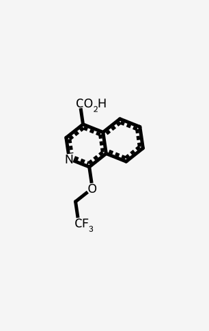 O=C(O)c1cnc(OCC(F)(F)F)c2ccccc12